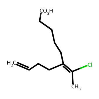 C=CCC/C(CCCCC(=O)O)=C(\C)Cl